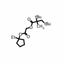 CCC1(OC(=O)COC(=O)C(C)(CC(C)(C)C)C(C)(C)C)CCCC1